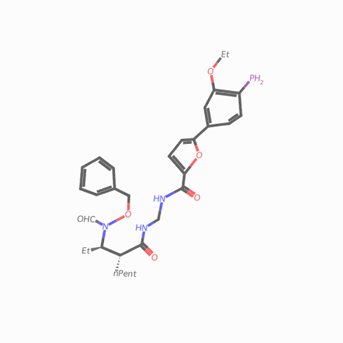 CCCCC[C@@H](C(=O)NCNC(=O)c1ccc(-c2ccc(P)c(OCC)c2)o1)[C@@H](CC)N(C=O)OCc1ccccc1